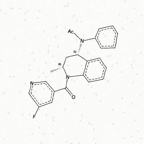 CC(=O)N(c1ccccc1)[C@H]1C[C@@H](C)N(C(=O)c2cncc(F)c2)c2ccccc21